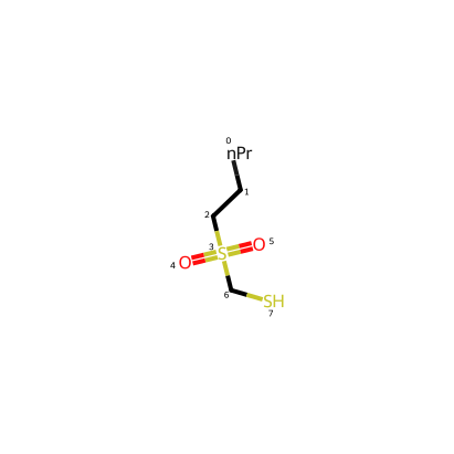 CCCCCS(=O)(=O)CS